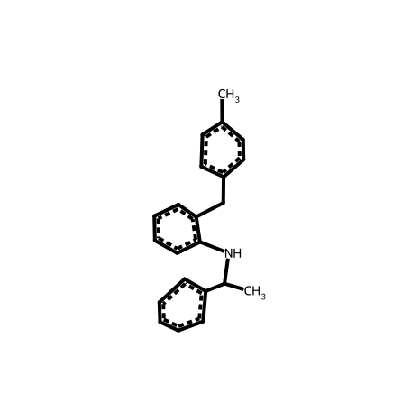 Cc1ccc(Cc2ccccc2NC(C)c2ccccc2)cc1